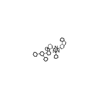 C1=Cc2ccccc2C2CC(c3nc(C4=CCCc5oc6c(-c7ccc(-c8ccccc8)cc7-c7ccccc7)cccc6c54)nc(-c4ccccc4)n3)=CC=C12